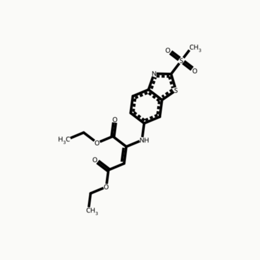 CCOC(=O)C=C(Nc1ccc2nc(S(C)(=O)=O)sc2c1)C(=O)OCC